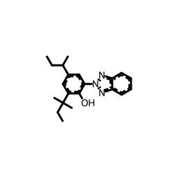 CCC(C)c1cc(-n2nc3ccccc3n2)c(O)c(C(C)(C)CC)c1